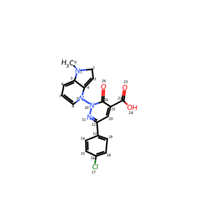 CN1CC=C2C1=CC=CN2n1nc(-c2ccc(Cl)cc2)cc(C(=O)O)c1=O